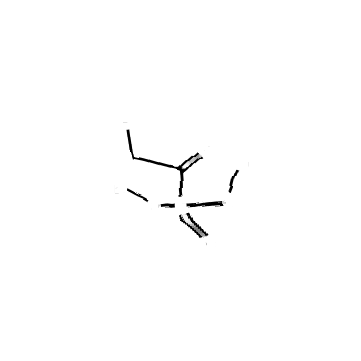 CCOP(=O)(OCC)C(=O)CF